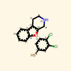 Sc1ccc(Cl)c(Cl)c1.c1ccc2c3c(oc2c1)CNCC3